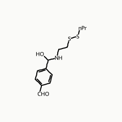 CCCSSCCNC(O)c1ccc(C=O)cc1